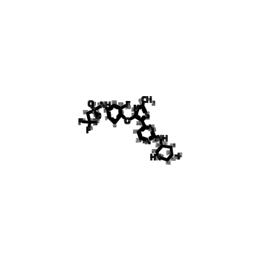 Cc1nc(Oc2ccc(NS(=O)(=O)CC(F)(F)F)cc2F)c(-c2ccnc(N[C@@H]3CNC[C@@H](F)C3)n2)s1